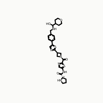 O=C(Nc1cnc(C(=O)N2CC(c3ncc(-c4ccc(CNC(O)C5CCOCC5)cc4)s3)C2)s1)[C@@H]1CCCN1